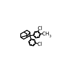 Cc1ccc(C2(c3cccc(Cl)c3)C3CC4CC(C3)CC2C4)cc1Cl